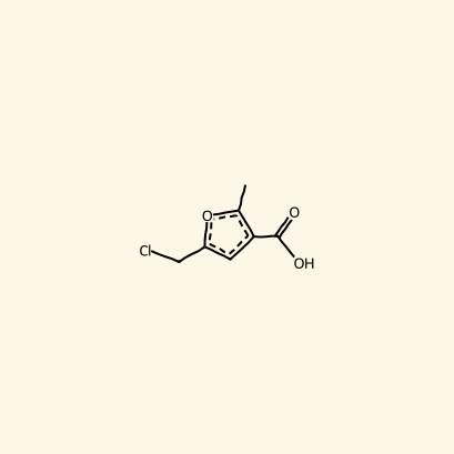 Cc1oc(CCl)cc1C(=O)O